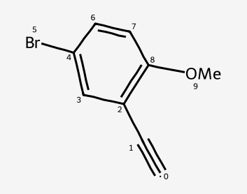 [C]#Cc1cc(Br)ccc1OC